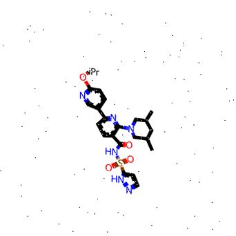 CC1CC(C)CN(c2nc(-c3ccc(OC(C)C)nc3)ccc2C(=O)NS(=O)(=O)c2ccn[nH]2)C1